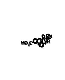 O=C(O)c1ccc(CN(C(=O)O[C@H]2CN3CCC2CC3)c2ccccc2F)c(F)c1